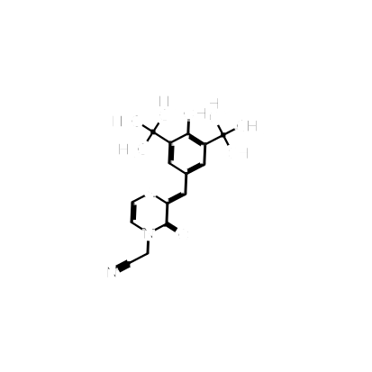 CC(C)(C)c1cc(C=C2SC=CN(CC#N)C2=O)cc(C(C)(C)C)c1O